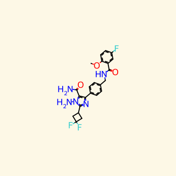 COc1ccc(F)cc1C(=O)NCc1ccc(-c2nc(C3CC(F)(F)C3)n(N)c2C(N)=O)cc1